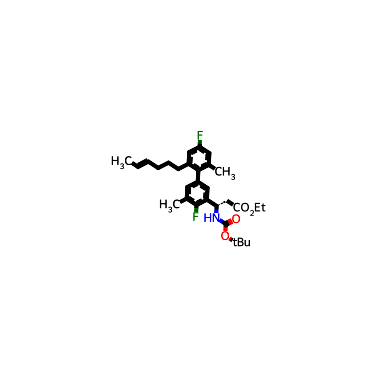 CC=CCCCc1cc(F)cc(C)c1-c1cc(C)c(F)c([C@H](CC(=O)OCC)NC(=O)OC(C)(C)C)c1